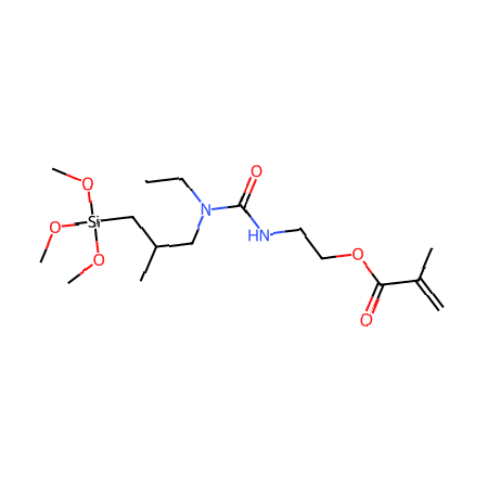 C=C(C)C(=O)OCCNC(=O)N(CC)CC(C)C[Si](OC)(OC)OC